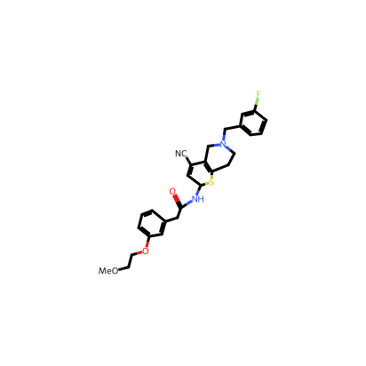 COCCOc1cccc(CC(=O)NC2C=C(C#N)C3=C(CCN(Cc4cccc(F)c4)C3)S2)c1